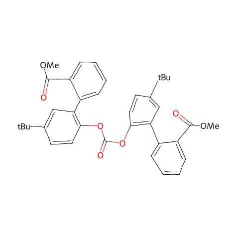 COC(=O)c1ccccc1-c1cc(C(C)(C)C)ccc1OC(=O)Oc1ccc(C(C)(C)C)cc1-c1ccccc1C(=O)OC